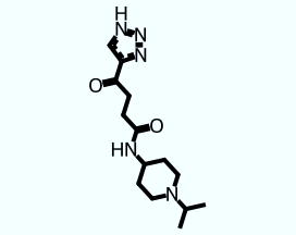 CC(C)N1CCC(NC(=O)CCC(=O)c2c[nH]nn2)CC1